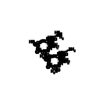 N=C(N)NCCC[C@H](NC(=O)[C@@H]1CCCN1C(=O)[C@@H]1CSSCCC(=O)N[C@@H](Cc2ccc(O)cc2)C(=O)N[C@@H](Cc2ccccc2)C(=O)N[C@@H](CCC(N)=O)C(=O)N[C@@H](CC(N)=O)C(=O)N1)C(=O)NCC(N)=O.NCCCC[C@H](NC(=O)[C@@H]1CCCN1C(=O)[C@@H]1CSSC[C@H](N)C(=O)N[C@@H](Cc2ccccc2)C(=O)N[C@@H](Cc2ccccc2)C(=O)N[C@@H](CCC(N)=O)C(=O)N[C@@H](CC(N)=O)C(=O)N1)C(=O)NCC(N)=O